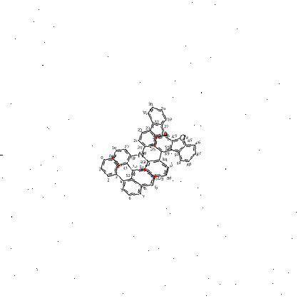 c1ccc(-c2cccc3cccc(-c4ccccc4N(c4ccc5c(c4)oc4ccccc45)c4ccccc4-c4cccc5oc6ccccc6c45)c23)cc1